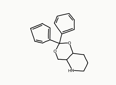 c1ccc(C2(c3ccccc3)OCC3NCCCC3O2)cc1